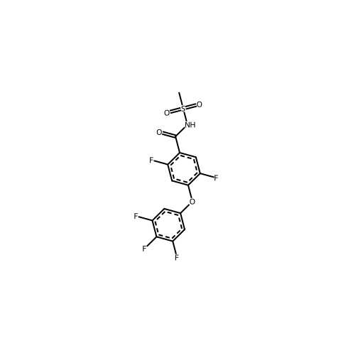 CS(=O)(=O)NC(=O)c1cc(F)c(Oc2cc(F)c(F)c(F)c2)cc1F